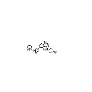 CN(C)C1CCC(Nc2ncnc3ccc(-c4cnn(Cc5ccccn5)c4)cc23)CC1